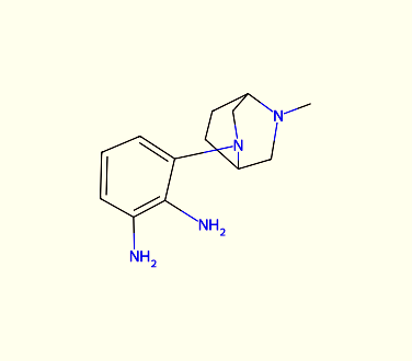 CN1CC2CCC1CN2c1cccc(N)c1N